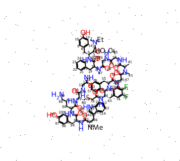 CCN(C)C1OC1[C@H](Cc1ccc(O)cc1)NC(=O)C(Cc1ccccc1)N(C)C(=O)[C@@H](NC(=O)[C@H](CC(=O)O)NC(=O)[C@@H](C)N(C)C(=O)[C@H](C)N(C)C(=O)[C@H](Cc1ccccc1)N(C)C(=O)[C@H](Cc1cc(F)c(F)c(F)c1)NC(=O)CSC[C@H](NC(=O)[C@H](CCCN)NC(=O)[C@H](Cc1ccc(O)cc1)NC(=O)[C@H](Cc1c[nH]c2ccccc12)NC)C(=O)NCC(N)=O)C(C)C